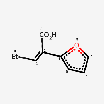 CCC=C(C(=O)O)c1ccco1